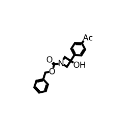 CC(=O)c1ccc(C2(O)CN(C(=O)OCc3ccccc3)C2)cc1